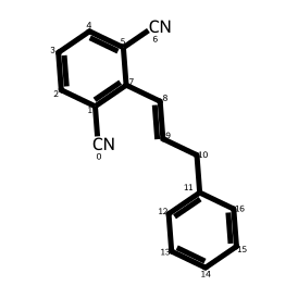 N#Cc1cccc(C#N)c1C=CCc1ccccc1